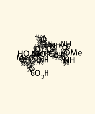 COc1cc(C)c2[nH]ccc2c1CN1CCC2(CCCN2)C[C@H]1c1ccc(C(=O)O)c(Cc2cc(OC)c(CN3CCC4(CC(C)CO4)C[C@H]3c3ccc(C(=O)O)c(Cc4cc(OC)c(CN5CCC6(CCOC6)C[C@H]5c5ccc(C(=O)O)cc5)c5cc[nH]c45)c3)c3cc[nH]c23)c1